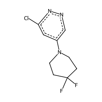 FC1(F)CCN(c2cnnc(Cl)c2)CC1